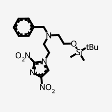 CC(C)(C)[Si](C)(C)OCCN(CCn1cc([N+](=O)[O-])nc1[N+](=O)[O-])Cc1ccccc1